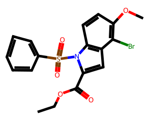 CCOC(=O)c1cc2c(Br)c(OC)ccc2n1S(=O)(=O)c1ccccc1